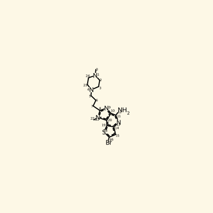 CN1CCN(CCCc2nc3c(N)nc4cc(Br)sc4c3n2C)CC1